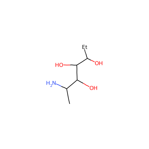 CCC(O)C(O)C(O)C(C)N